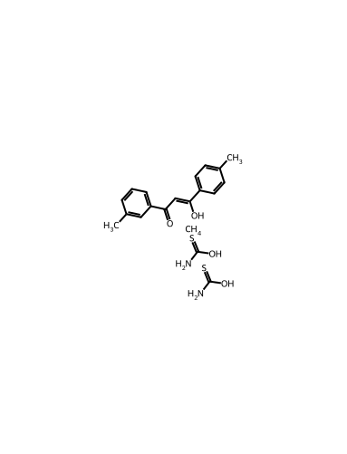 C.Cc1ccc(C(O)=CC(=O)c2cccc(C)c2)cc1.NC(O)=S.NC(O)=S